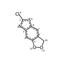 Clc1nc2cc3c(cc2s1)COO3